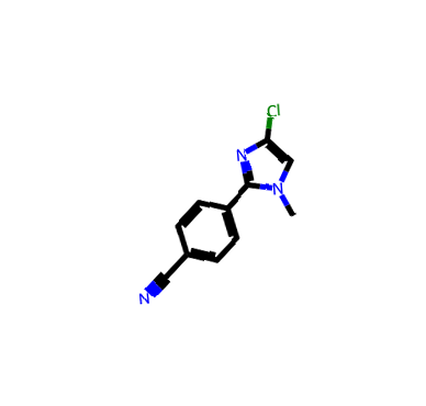 Cn1cc(Cl)nc1-c1ccc(C#N)cc1